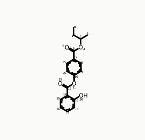 CCC(C)OC(=O)c1ccc(OC(=O)c2ccccc2O)cc1